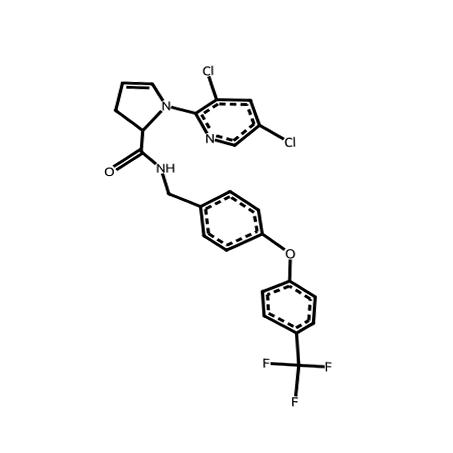 O=C(NCc1ccc(Oc2ccc(C(F)(F)F)cc2)cc1)C1CC=CN1c1ncc(Cl)cc1Cl